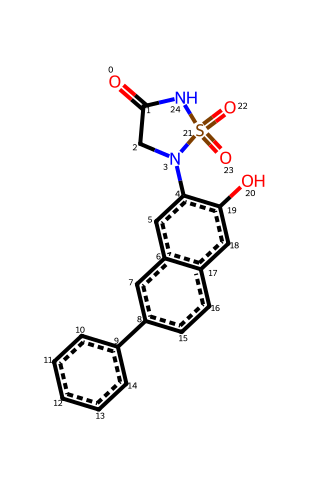 O=C1CN(c2cc3cc(-c4ccccc4)ccc3cc2O)S(=O)(=O)N1